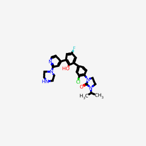 CC(C)N1CCN(c2ccc(-c3cc(F)cc(-c4ccnc(N5CCNCC5)c4)c3O)cc2Cl)C1=O